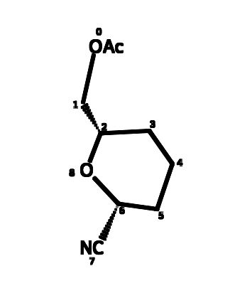 CC(=O)OC[C@@H]1CCC[C@H](C#N)O1